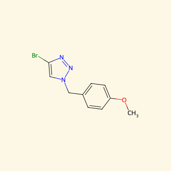 COc1ccc(Cn2cc(Br)nn2)cc1